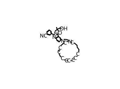 CC(C)(CO)Cn1c(-c2cccc(C#N)c2)nc2ccc(N3CCN4CCCCCCCCCCCCCCCCCCCCCC3CC4)cc2c1=O